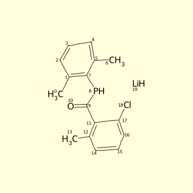 Cc1cccc(C)c1PC(=O)c1c(C)cccc1Cl.[LiH]